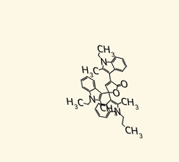 CCCn1c(C)c(C2(c3c(C)n(CC)c4ccccc34)C=C(c3c(C)n(CC)c4ccccc34)C(=O)O2)c2ccccc21